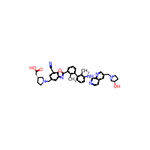 Cc1c(Nc2nccc3cc(CN4CC[C@@H](O)C4)cnc23)cccc1-c1cccc(-c2nc3cc(CN4CC[C@H](CC(=O)O)C4)cc(C#N)c3o2)c1C